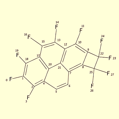 Fc1c(F)c2ccc3c4c(c(F)c5c(F)c(F)c(c1F)c2c35)C(F)(F)C4(F)F